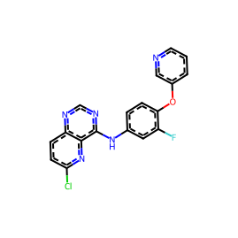 Fc1cc(Nc2ncnc3ccc(Cl)nc23)ccc1Oc1cccnc1